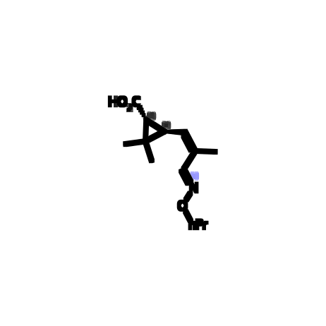 CCCO/N=C/C(C)=C[C@@H]1[C@@H](C(=O)O)C1(C)C